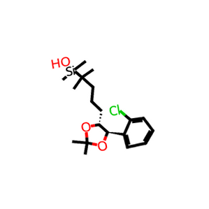 CC1(C)O[C@H](c2ccccc2Cl)[C@@H](CCCC(C)(C)[Si](C)(C)O)O1